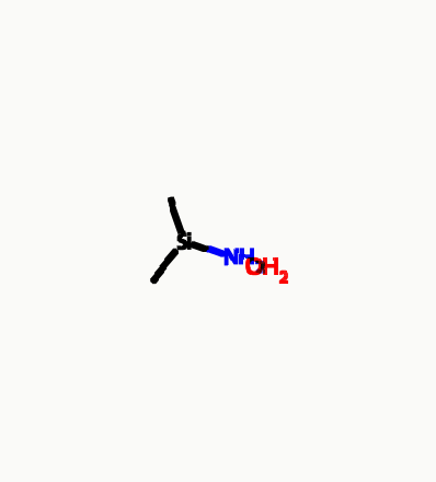 C[Si](C)N.O